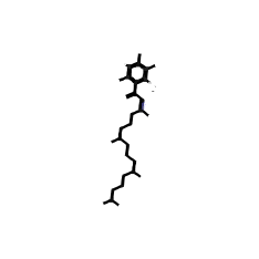 C=C(/C=C(/C)CCCC(C)CCCC(C)CCCC(C)C)c1c(C)c(O)c(C)c(C)c1N=O